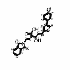 O=C(O)[C@H](CCN1C(=O)c2ccccc2C1=O)[C@H](O)CCc1cc(-c2ccc(Cl)cc2)cs1